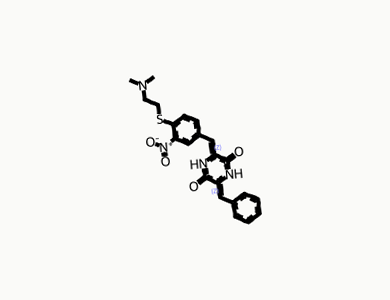 CN(C)CCSc1ccc(/C=c2\[nH]c(=O)/c(=C/c3ccccc3)[nH]c2=O)cc1[N+](=O)[O-]